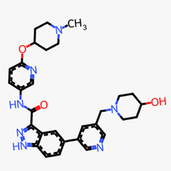 CN1CCC(Oc2ccc(NC(=O)c3n[nH]c4ccc(-c5cncc(CN6CCC(O)CC6)c5)cc34)cn2)CC1